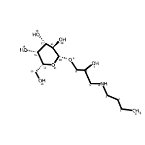 CCCCNCC(O)CO[C@@H]1O[C@H](CO)[C@H](O)[C@H](O)[C@H]1O